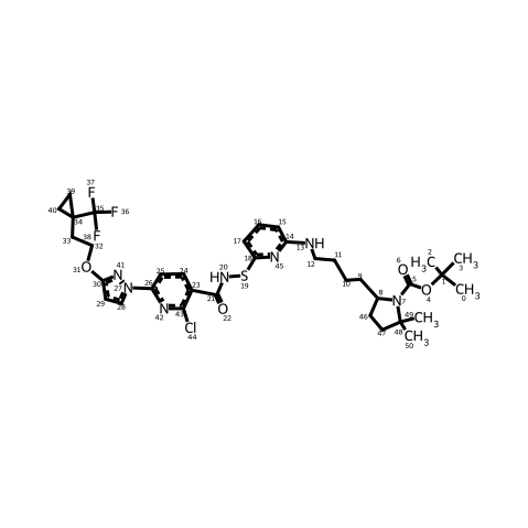 CC(C)(C)OC(=O)N1C(CCCCNc2cccc(SNC(=O)c3ccc(-n4ccc(OCCC5(C(F)(F)F)CC5)n4)nc3Cl)n2)CCC1(C)C